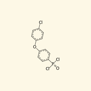 O=P(Cl)(Cl)c1ccc(Oc2ccc(Cl)cc2)cc1